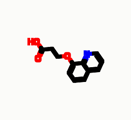 O=C(O)CCOc1cccc2cccnc12